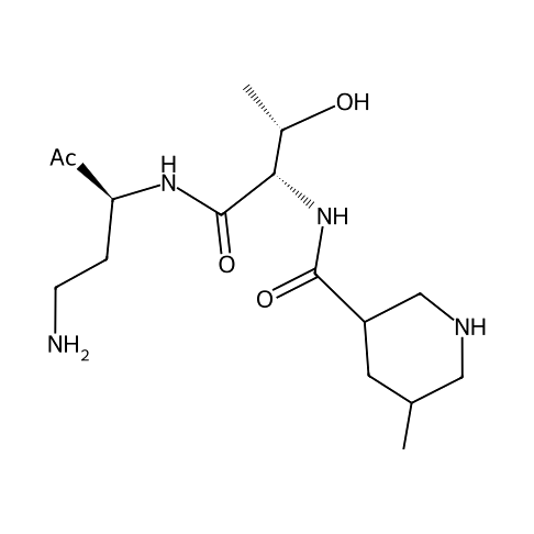 CC(=O)[C@H](CCN)NC(=O)[C@@H](NC(=O)C1CNCC(C)C1)[C@H](C)O